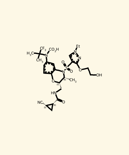 CCn1cc(S(=O)(=O)N2c3cc(N(C(=O)O)C(C)(C)C(F)(F)F)ccc3O[C@@H](CNC(=O)[C@@H]3C[C@@H]3C#N)[C@H]2C)c(OCCO)n1